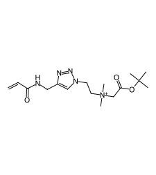 C=CC(=O)NCc1cn(CC[N+](C)(C)CC(=O)OC(C)(C)C)nn1